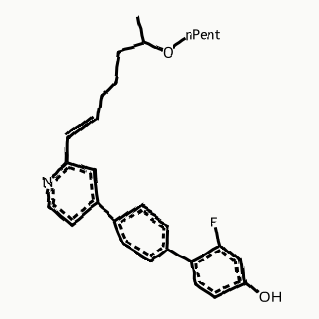 CCCCCOC(C)CCCC=Cc1cc(-c2ccc(-c3ccc(O)cc3F)cc2)ccn1